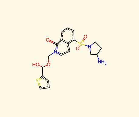 NC1CCN(S(=O)(=O)c2cccc3c(=O)n(COC(O)c4cccs4)ccc23)C1